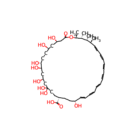 C[C@@H]1[C@H](C)[C@@H](C)/C=C/C=C/C=C/C=C/C=C/C=C/C=C/[C@H](O)CC[C@H](C(=O)O)CCC(O)(O)C[C@@H](O)C[C@@H](O)[C@H](O)CC[C@@H](O)C[C@@H](O)CC(=O)O[C@H]1C